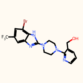 OCc1cccnc1N1CCN(c2nc3cc(C(F)(F)F)cc(Br)c3[nH]2)CC1